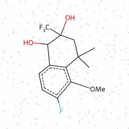 COc1c(F)ccc2c1C(C)(C)CC(O)(C(F)(F)F)C2O